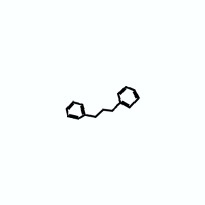 [CH](Cc1ccccc1)Cc1ccccc1